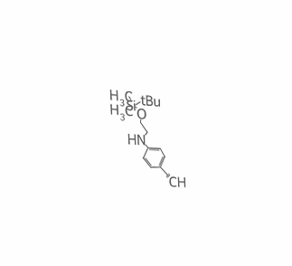 C#Cc1ccc(NCCO[Si](C)(C)C(C)(C)C)cc1